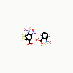 O=C(O)c1cc([N+](=O)[O-])c([N+](=O)[O-])c2ssc12.O=C(O)c1ccccc1[N+]([O-])=S